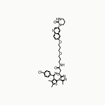 Cc1sc2c(c1C)C(c1ccc(Cl)cc1)=N[C@@H](CC(=O)NCCCOCCCOc1ccc3ncc(N4CCCNC4=O)cc3c1)c1nnc(C)n1-2